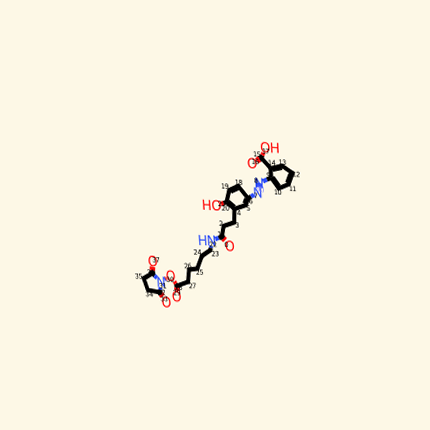 O=C(CCc1cc(/N=N/c2ccccc2C(=O)O)ccc1O)NCCCCCC(=O)ON1C(=O)CCC1=O